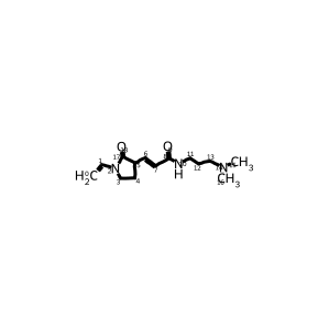 C=CN1CCC(C=CC(=O)NCCCN(C)C)C1=O